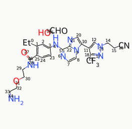 CCc1cc(Nc2nccn3c(-c4cn(CCC#N)nc4C(F)(F)F)cnc23)ccc1C(=O)NCCOCCN.O=CO